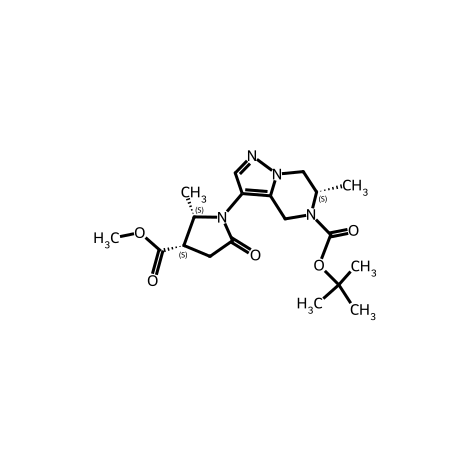 COC(=O)[C@H]1CC(=O)N(c2cnn3c2CN(C(=O)OC(C)(C)C)[C@@H](C)C3)[C@H]1C